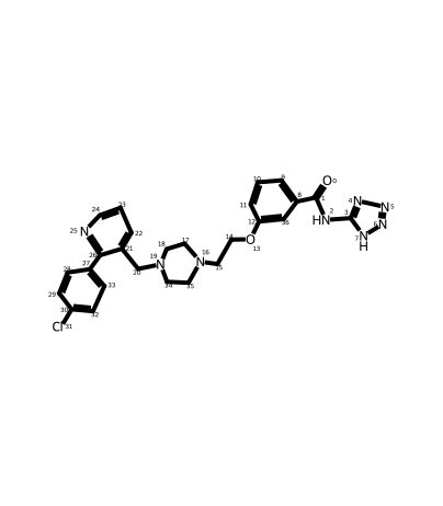 O=C(Nc1nnn[nH]1)c1cccc(OCCN2CCN(Cc3cccnc3-c3ccc(Cl)cc3)CC2)c1